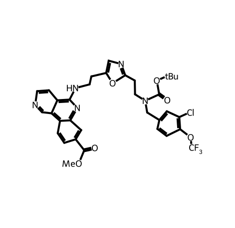 COC(=O)c1ccc2c(c1)nc(NCCc1cnc(CCN(Cc3ccc(OC(F)(F)F)c(Cl)c3)C(=O)OC(C)(C)C)o1)c1ccncc12